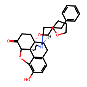 O=C1CC[C@@]2(OCCCc3ccccc3)[C@H]3Cc4ccc(O)c5c4[C@@]2(CCN3CC2CCCO2)C1O5